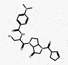 CC(C)CC(NC(=O)c1ccc(N(C)C)cc1)C(=O)N1CCC2C1C(=O)CN2C(=O)C1C=CCC1